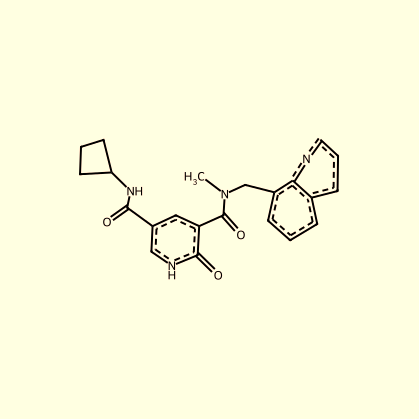 CN(Cc1cccc2cccnc12)C(=O)c1cc(C(=O)NC2CCC2)c[nH]c1=O